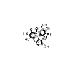 OC[C@@H]1O[CH][C@H](O[C@H]2O[C@H](CO)[C@@H](O)[C@H](O)[C@H]2O)[C@@H](O[C@@H]2O[C@H](CO)[C@@H](O)[C@H](O)[C@H]2O)[C@H]1O